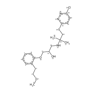 COCCc1ccccc1OCC(O)CNC(C)(C)CSc1ccc(Cl)nn1